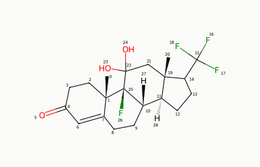 C[C@]12CCC(=O)C=C1CC[C@H]1[C@@H]3CCC(C(F)(F)F)[C@@]3(C)CC(O)(O)[C@]12F